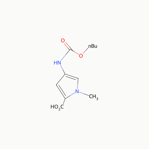 CCCCOC(=O)Nc1cc(C(=O)O)n(C)c1